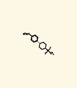 CCCCCc1ccc([C@H]2CC[C@H](C(F)(F)C(F)(F)F)CC2)cc1